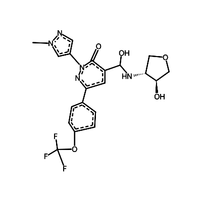 Cn1cc(-n2nc(-c3ccc(OC(F)(F)F)cc3)cc(C(O)N[C@@H]3COC[C@H]3O)c2=O)cn1